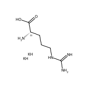 N=C(N)NCCC[C@H](N)C(=O)O.[KH].[KH]